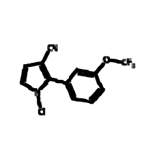 N#Cc1ccn(Cl)c1-c1cccc(OC(F)(F)F)c1